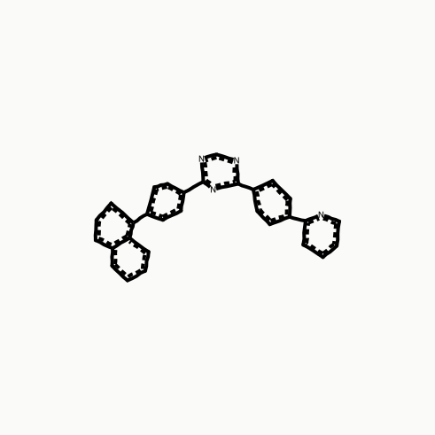 c1ccc(-c2ccc(-c3ncnc(-c4ccc(-c5cccc6ccccc56)cc4)n3)cc2)nc1